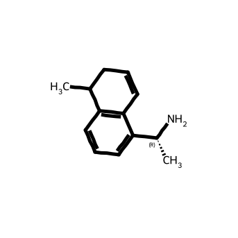 CC1CC=Cc2c1cccc2[C@@H](C)N